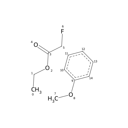 CCOC(=O)CF.COc1ccccc1